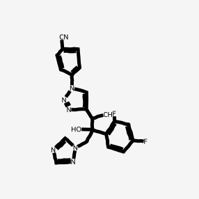 CC(c1cn(-c2ccc(C#N)cc2)nn1)C(O)(Cn1cncn1)c1ccc(F)cc1F